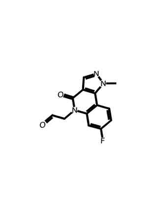 Cn1ncc2c(=O)n(CC=O)c3cc(F)ccc3c21